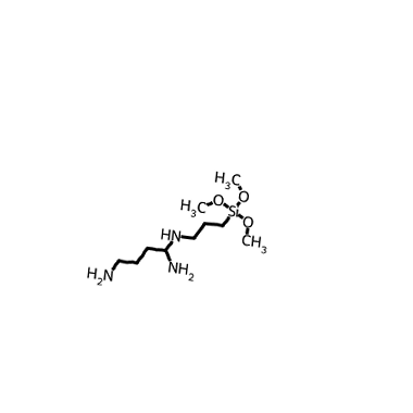 CO[Si](CCCNC(N)CCCN)(OC)OC